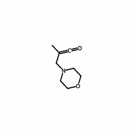 CC(=C=O)CN1CCOCC1